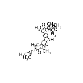 CCN(CC)CCNC(=O)c1c(C)[nH]c(/C=C2\C(=O)Nc3ccc(OC(C)(C)C(=O)[C@H](C)OC(C)(C)C(C)=O)cc32)c1C